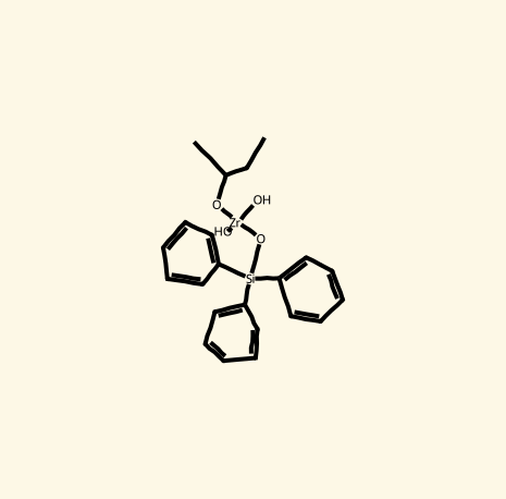 CCC(C)[O][Zr]([OH])([OH])[O][Si](c1ccccc1)(c1ccccc1)c1ccccc1